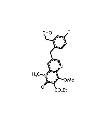 CCOC(=O)c1c(OC)c2ncc(Cc3ccc(F)cc3CC=O)cc2n(C)c1=O